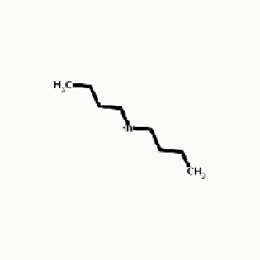 CCC[CH2][In][CH2]CCC